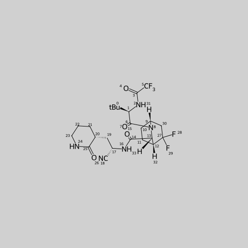 CC(C)(C)[C@@H](NC(=O)C(F)(F)F)C(=O)N1[C@@H]2CC[C@H]([C@@H]1C(=O)N[C@H](C#N)C[C@H]1CCCNC1=O)C(F)(F)C2